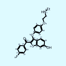 CCNCCOc1ccc(Oc2c(C(=O)c3ccc(F)cc3)sc3cc(O)ccc23)cc1